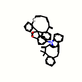 C=C1/C=C\C=C/Cc2ccccc2C2(c3ccccc31)c1ccccc1-c1ccc(-n3c4/c(c5ccccc53)=C\Cc3ccccc3C(C)(C)C(=C)/C=4)cc12